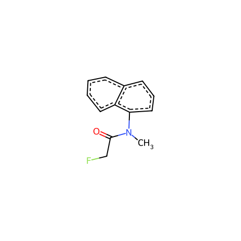 CN(C(=O)CF)c1cccc2ccccc12